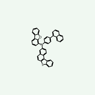 c1ccc2c(-c3ccc(N(c4ccc5c(ccc6sc7ccccc7c65)c4)c4cccc5c4oc4ccccc45)cc3)cccc2c1